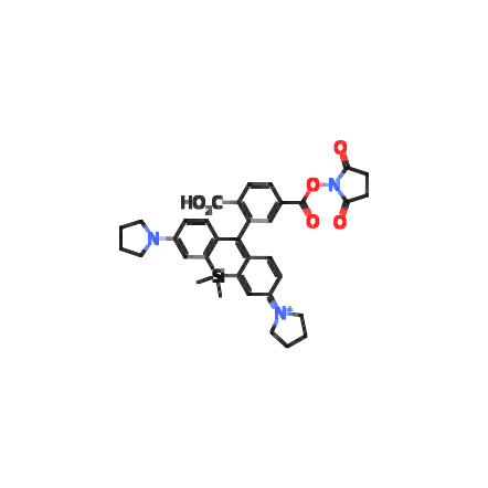 C[Si]1(C)C2=CC(=[N+]3CCCC3)C=CC2=C(c2cc(C(=O)ON3C(=O)CCC3=O)ccc2C(=O)O)c2ccc(N3CCCC3)cc21